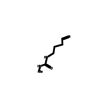 CCCCNC(=O)NCCCC=S